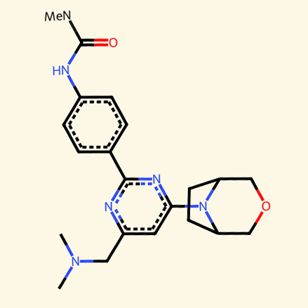 CNC(=O)Nc1ccc(-c2nc(CN(C)C)cc(N3C4CCC3COC4)n2)cc1